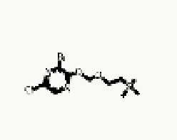 C[Si](C)(C)CCOCOc1ncc(Cl)nc1Br